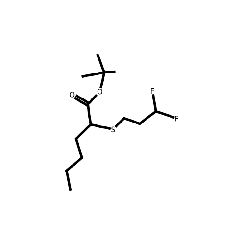 CCCCC(SCCC(F)F)C(=O)OC(C)(C)C